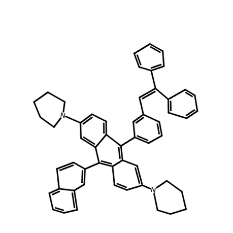 C(=C(c1ccccc1)c1ccccc1)c1cccc(-c2c3ccc(N4CCCCC4)cc3c(-c3ccc4ccccc4c3)c3ccc(N4CCCCC4)cc23)c1